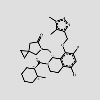 Cc1c(COc2c(F)cc(Cl)c3c2[C@@H](CN2CC4(CC4)CC2=O)N(C(=O)[C@@H]2CCCC[C@@H]2C)CC3)nnn1C